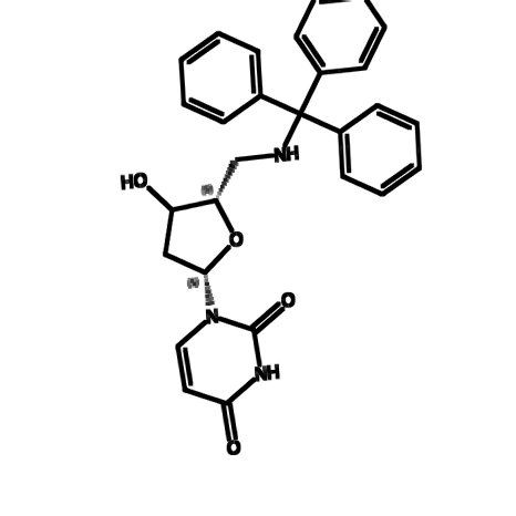 O=c1ccn([C@@H]2CC(O)[C@H](CNC(c3ccccc3)(c3ccccc3)c3ccncc3)O2)c(=O)[nH]1